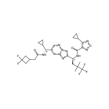 CC(C)(C[C@H](NC(=O)c1nonc1C1CC1)c1cn2ncc([C@H](NC(=O)CC3CC(F)(F)C3)C3CC3)cc2n1)C(F)(F)F